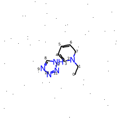 CCN1C=CC=CC1.c1nnn[nH]1